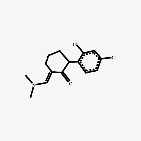 CN(C)C=C1CCCC(c2ccc(Cl)cc2Cl)C1=O